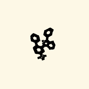 C[Si](C)(C)c1ccc(-c2ccccc2)c(-c2sc(-c3ccccc3)c3ccccc23)c1